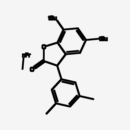 CCCC.Cc1cc(C)cc(C2C(=O)Oc3c2cc(C(C)(C)C)cc3C(C)(C)C)c1